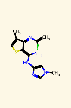 C=C(Cl)/N=C1/C(C)=CS/C1=C(/N)Nc1cn(C)cn1